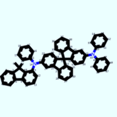 CC1(C)c2ccccc2-c2cccc(N(c3ccccc3)c3ccc4c(c3)-c3ccccc3C43c4ccccc4-c4cc(N(c5ccccc5)c5ccccc5)ccc43)c21